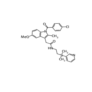 COc1ccc2c(c1)c(CC(=O)NCC[Si](C)(C)c1cccnc1)c(C)n2C(=O)c1ccc(Cl)cc1